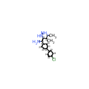 C=C(CC)/C(NN)=C(/N)c1ccc(-c2ccc(Cl)cc2)cc1